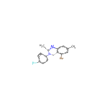 CC1=Nc2cc(C)cc(Br)c2CN1c1ccc(F)cc1